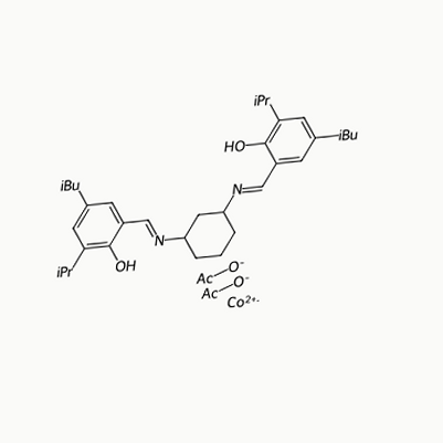 CC(=O)[O-].CC(=O)[O-].CCC(C)c1cc(C=NC2CCCC(N=Cc3cc(C(C)CC)cc(C(C)C)c3O)C2)c(O)c(C(C)C)c1.[Co+2]